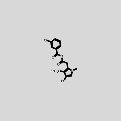 CCOC(=O)c1c(CC)cn(C)c1CC(=O)OC(=O)c1cccc(Cl)c1